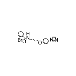 O=C(NCCCCOc1ccc(-n2ccnc2)cc1)c1ccccc1Br